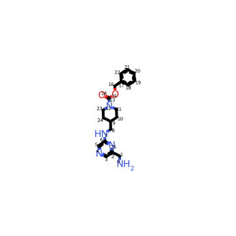 NCc1cncc(NCC2CCN(C(=O)OCc3ccccc3)CC2)n1